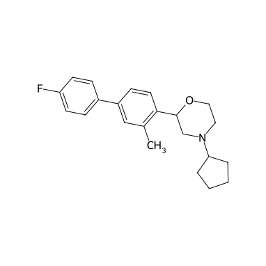 Cc1cc(-c2ccc(F)cc2)ccc1C1CN(C2CCCC2)CCO1